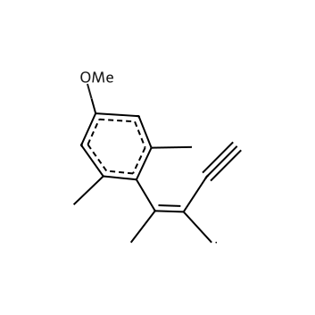 C#CC([CH2])=C(C)c1c(C)cc(OC)cc1C